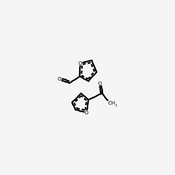 CC(=O)c1ccco1.O=Cc1ccco1